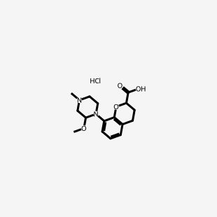 COC1CN(C)CCN1c1cccc2c1OC(C(=O)O)CC2.Cl